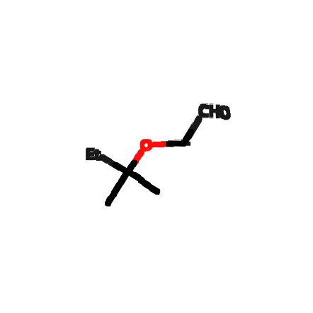 CCC(C)(C)O[CH]C=O